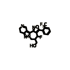 OCC1Cn2nc3c(c2-c2noc(-c4ccccc4C(F)(F)F)c2C1F)C=NCC3